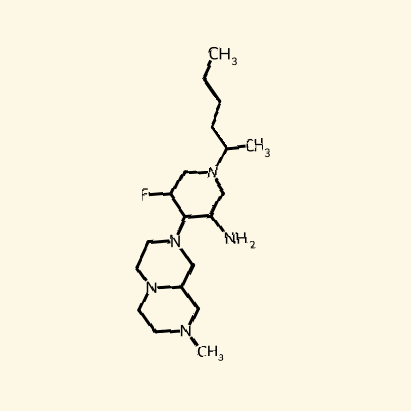 CCCCC(C)N1CC(N)C(N2CCN3CCN(C)CC3C2)C(F)C1